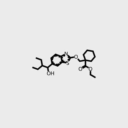 CCOC(=O)C1(COc2nc3ccc(C(O)C(CC)CC)cc3s2)CCCCC1